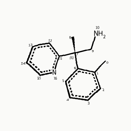 Cc1ccccc1[C@@](C)(CN)c1ccccn1